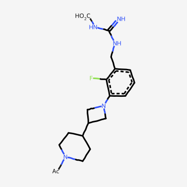 CC(=O)N1CCC(C2CN(c3cccc(CNC(=N)NC(=O)O)c3F)C2)CC1